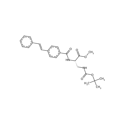 COC(=O)[C@H](CNC(=O)OC(C)(C)C)NC(=O)c1ccc(/C=C/c2ccccc2)cc1